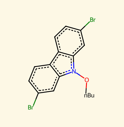 CCCCOn1c2cc(Br)ccc2c2ccc(Br)cc21